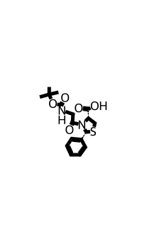 CC(C)(C)OC(=O)NCC(=O)N1[C@@H](c2ccccc2)SC[C@H]1C(=O)O